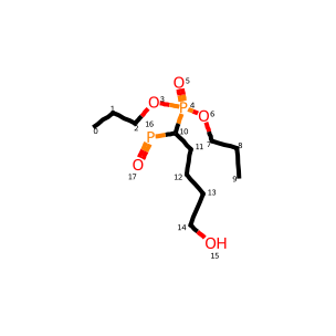 CCCOP(=O)(OCCC)C(CCCCO)P=O